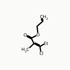 C=CCOC(=O)C(C)=C(Cl)CC